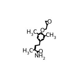 CC(=CCc1cc(C)c(OCC2CO2)c(C)c1)C(N)=O